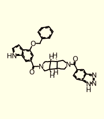 O=C(c1ccc2[nH]nnc2c1)N1C[C@@H]2[C@H](C1)[C@H]1CN(C(=O)c3cc(OCc4ccccc4)c4cc[nH]c4c3)C[C@@H]21